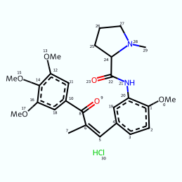 COc1ccc(C=C(C)C(=O)c2cc(OC)c(OC)c(OC)c2)cc1NC(=O)C1CCCN1C.Cl